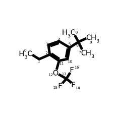 CCc1ccc(C(C)(C)C)cc1OC(F)(F)F